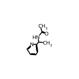 CC(=O)NC(C)c1ccccn1